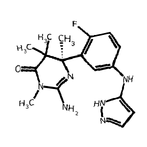 CN1C(=O)C(C)(C)[C@@](C)(c2cc(Nc3ccn[nH]3)ccc2F)N=C1N